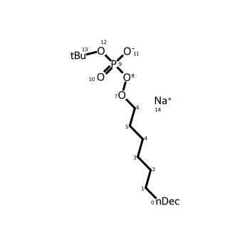 CCCCCCCCCCCCCCCCOOP(=O)([O-])OC(C)(C)C.[Na+]